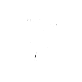 CCOC(=O)[C@]1(C)CC[C@@H](C(C)C)CC1